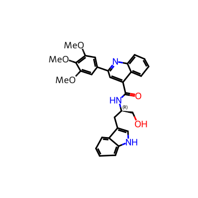 COc1cc(-c2cc(C(=O)N[C@@H](CO)Cc3c[nH]c4ccccc34)c3ccccc3n2)cc(OC)c1OC